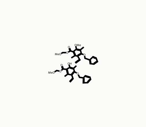 C=Cc1c(C)c(C(=O)OCOC)c(O)c(C)c1OCc1ccccc1.C=Cc1c(C)c(C(=O)OCOC)c(OC)c(C)c1OCc1ccccc1